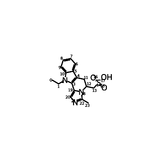 CCn1c2c(c3ccccc31)CC(CS(=O)(=O)O)n1c-2cnc1C